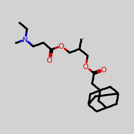 [CH2]C(COC(=O)CCN(C)CC)COC(=O)CC12CC3CC(CC(C3)C1)C2